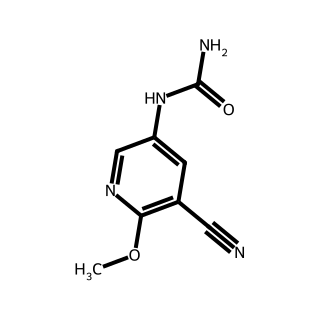 COc1ncc(NC(N)=O)cc1C#N